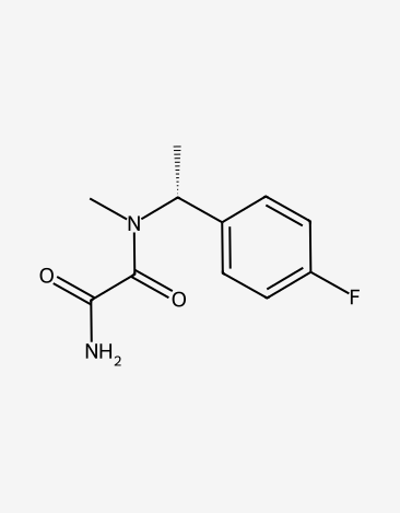 C[C@H](c1ccc(F)cc1)N(C)C(=O)C(N)=O